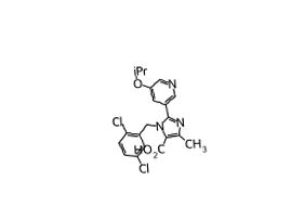 Cc1nc(-c2cncc(OC(C)C)c2)n(Cc2cc(Cl)ccc2Cl)c1C(=O)O